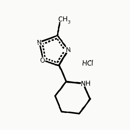 Cc1noc(C2CCCCN2)n1.Cl